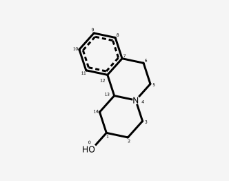 OC1CCN2CCc3ccccc3C2C1